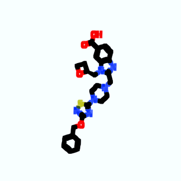 O=C(O)c1ccc2nc(CN3CCN(c4nc(OCc5ccccc5)ns4)CC3)n(C[C@@H]3CCO3)c2c1